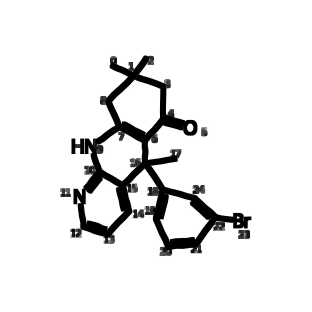 CC1(C)CC(=O)C2=C(C1)Nc1ncccc1C2(C)c1cccc(Br)c1